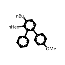 CCCCCCc1c(CCCC)c[c]c(-c2ccc(OC)cc2)c1-c1ccccc1